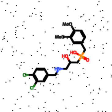 COc1ccc(CP(=O)(O)CC(O)CNCc2ccc(Cl)c(Cl)c2)cc1OC